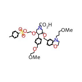 COCCCN1CCOc2ccc(CO[C@H]3CN(C(=O)O)CC(OCCOS(=O)(=O)c4ccc(C)cc4)C3c3ccc(COCCOC)cc3)cc21